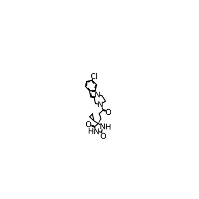 O=C1NC(=O)[C@](CCC(=O)N2CCn3c(cc4ccc(Cl)cc43)C2)(C2CC2)N1